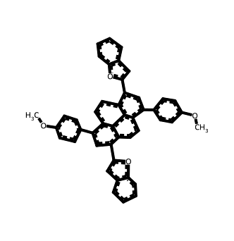 COc1ccc(-c2cc(-c3cc4ccccc4o3)c3ccc4c(-c5ccc(OC)cc5)cc(-c5cc6ccccc6o5)c5ccc2c3c45)cc1